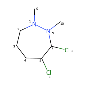 CN1CCCC(Cl)C(Cl)N1C